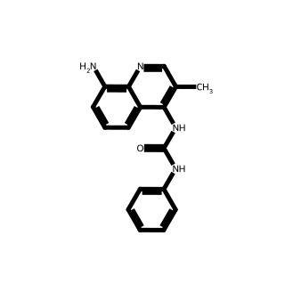 Cc1cnc2c(N)cccc2c1NC(=O)Nc1ccccc1